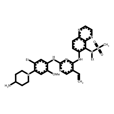 C=Cc1cnc(Nc2cc(CC)c(N3CCC(N)CC3)cc2OC)nc1Nc1ccc2nccnc2c1N(CC)S(C)(=O)=O